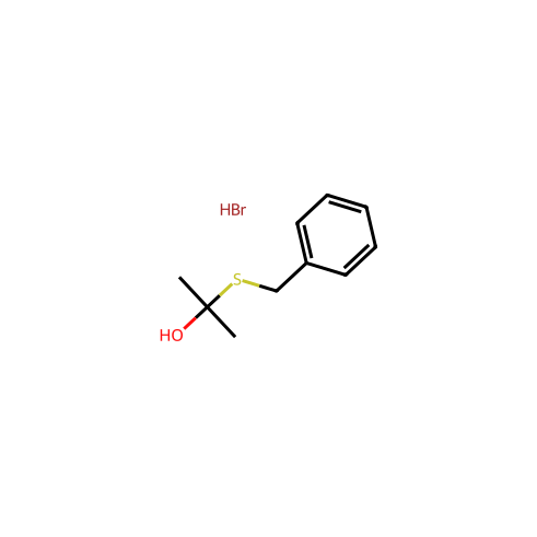 Br.CC(C)(O)SCc1ccccc1